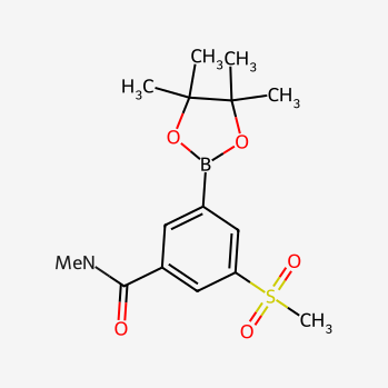 CNC(=O)c1cc(B2OC(C)(C)C(C)(C)O2)cc(S(C)(=O)=O)c1